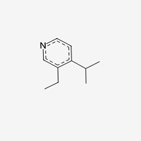 CCc1cnccc1C(C)C